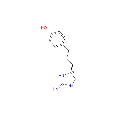 N=C1NC[C@H](CCCc2ccc(O)cc2)N1